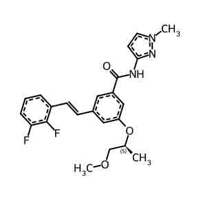 COC[C@H](C)Oc1cc(C=Cc2cccc(F)c2F)cc(C(=O)Nc2ccn(C)n2)c1